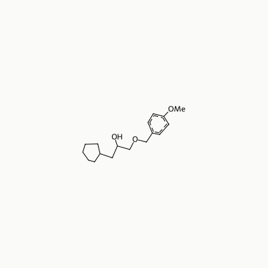 COc1ccc(COCC(O)CC2CCCCC2)cc1